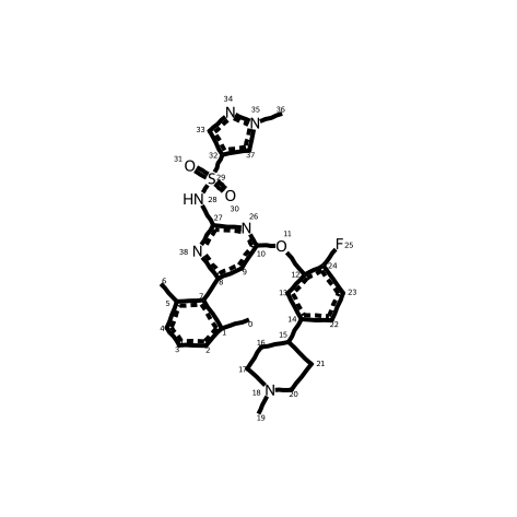 Cc1cccc(C)c1-c1cc(Oc2cc(C3CCN(C)CC3)ccc2F)nc(NS(=O)(=O)c2cnn(C)c2)n1